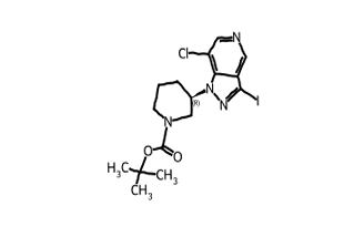 CC(C)(C)OC(=O)N1CCC[C@@H](n2nc(I)c3cncc(Cl)c32)C1